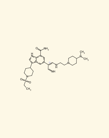 CCS(=O)(=O)N1CCC(c2c[nH]c3c(C(N)=O)cc(/C(C=N)=C/NCCN4CCC(N(C)C)CC4)cc23)CC1